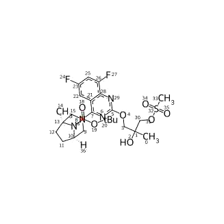 CC(O)(COc1nc(N2C[C@H]3CC[C@@](C)(C2)N3C(=O)OC(C)(C)C)c2cc(F)cc(F)c2n1)COS(C)(=O)=O